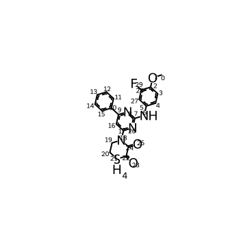 COc1ccc(Nc2nc(-c3ccccc3)cc(N3CC[SH4]C(=O)C3=O)n2)cc1F